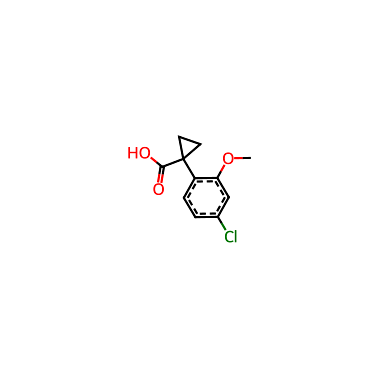 COc1cc(Cl)ccc1C1(C(=O)O)CC1